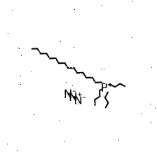 CCCCCCCCCCCCCCCC[P+](CCCC)(CCCC)CCCC.[N-]=[N+]=[N-]